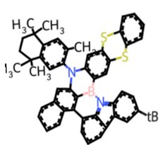 Cc1cc2c(cc1N1c3cc4c(cc3B3c5c1cc1ccccc1c5-c1cccc5c6cc(C(C)(C)C)ccc6n3c15)Sc1ccccc1S4)C(C)(C)CCC2(C)C